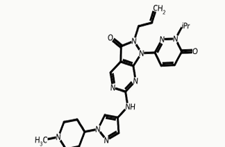 C=CCn1c(=O)c2cnc(Nc3cnn(C4CCN(C)CC4)c3)nc2n1-c1ccc(=O)n(C(C)C)n1